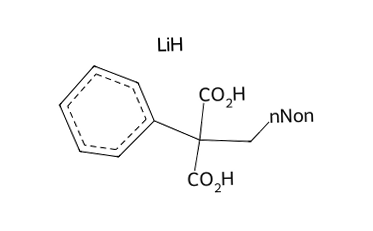 CCCCCCCCCCC(C(=O)O)(C(=O)O)c1ccccc1.[LiH]